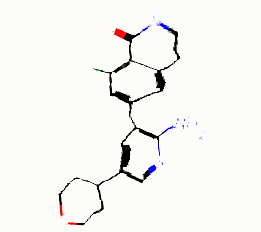 Nc1ncc(C2CCOCC2)cc1-c1cc(F)c2c(c1)CCNC2=O